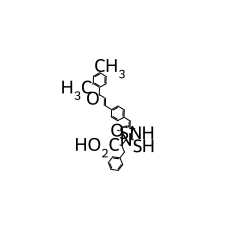 Cc1ccc(C(=O)/C=C/c2ccc(/C=C3/N[C@H](S)N(C(Cc4ccccc4)C(=O)O)[S+]3[O-])cc2)c(C)c1